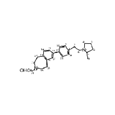 CC1CCCN1CCc1ccc(-c2ccc3c(c2)CCN(CC=O)CC3)cc1